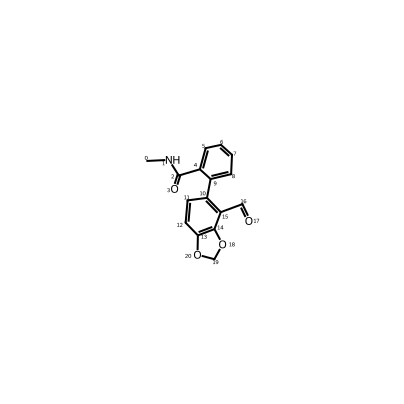 CNC(=O)c1ccccc1-c1ccc2c(c1C=O)OCO2